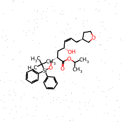 CC(C)OC(=O)[C@H](CO[Si](c1ccccc1)(c1ccccc1)C(C)(C)C)C[C@@H](O)/C=C\C[C@H]1CCOC1